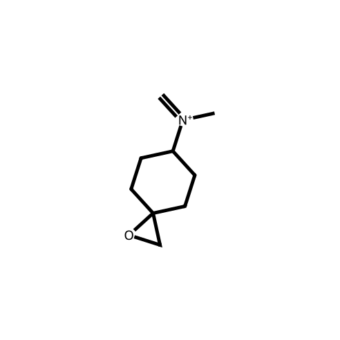 C=[N+](C)C1CCC2(CC1)CO2